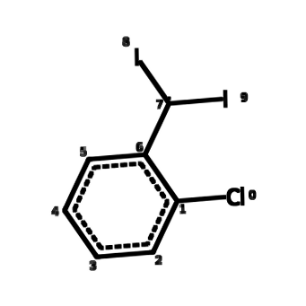 Clc1ccccc1[C](I)I